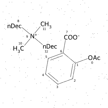 CC(=O)Oc1ccccc1C(=O)[O-].CCCCCCCCCC[N+](C)(C)CCCCCCCCCC